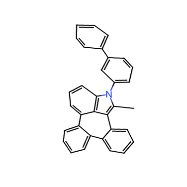 Cc1c2c3c(cccc3n1-c1cccc(-c3ccccc3)c1)-c1ccccc1-c1ccccc1-2